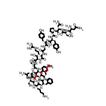 CC(C)C[C@H](NC(=O)[C@H](CC(N)=O)NC(=O)[C@H](Cc1ccc(O)cc1)NC(=O)[C@H](CO)NC(=O)[C@@H](NC(=O)[C@H](CCCNC(=N)N)NC(=O)CNC(=O)[C@H](Cc1ccc(O)cc1)NC(=O)[C@H](Cc1ccc(O)cc1)NC(=O)[C@@H]1CCCN1C(=O)[C@H](CC(N)=O)NC(=O)[C@H](CO)NC(=O)[C@@H](N)CC(N)=O)[C@@H](C)O)C(=O)N[C@@H](CCCCN)C(=O)N[C@@H](Cc1ccccc1)C(=O)N[C@@H](CCCCN)C(=O)NCC(=O)O